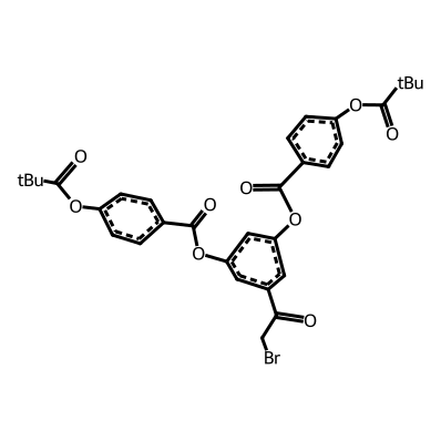 CC(C)(C)C(=O)Oc1ccc(C(=O)Oc2cc(OC(=O)c3ccc(OC(=O)C(C)(C)C)cc3)cc(C(=O)CBr)c2)cc1